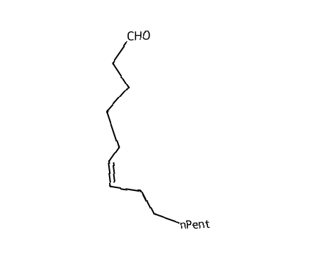 CCCCCCC/C=C\CCCCC=O